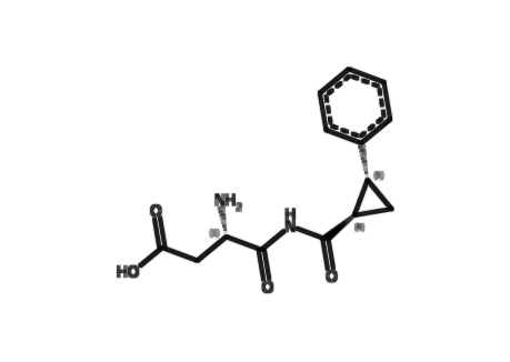 N[C@@H](CC(=O)O)C(=O)NC(=O)[C@@H]1C[C@H]1c1ccccc1